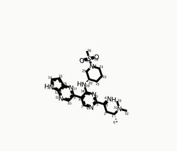 C[C@H](CC(=N)c1ncc(-c2cnc3[nH]ccc3n2)c(N[C@H]2CCCN(S(C)(=O)=O)C2)n1)N(C)C